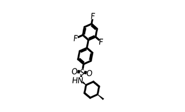 C[C@H]1CC[C@@H](NS(=O)(=O)c2ccc(-c3c(F)cc(F)cc3F)cc2)CC1